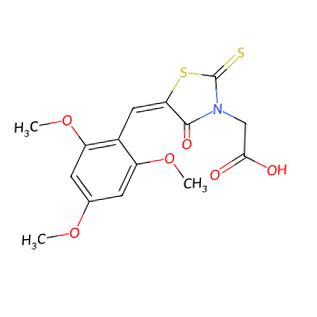 COc1cc(OC)c(/C=C2/SC(=S)N(CC(=O)O)C2=O)c(OC)c1